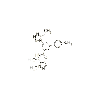 CCc1nnnn1-c1cc(C(=O)NC(C)c2ccnn2C)cc(-c2ccc(C)cc2)c1